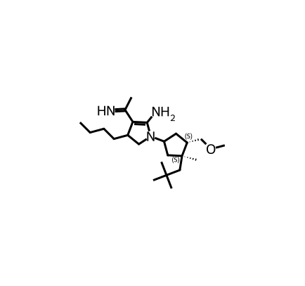 CCCCC1CN(C2C[C@H](COC)[C@@](C)(CC(C)(C)C)C2)C(N)=C1C(C)=N